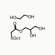 CCCCCCCCCC(=O)OCC(O)CO.OCCO